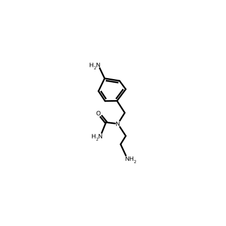 NCCN(Cc1ccc(N)cc1)C(N)=O